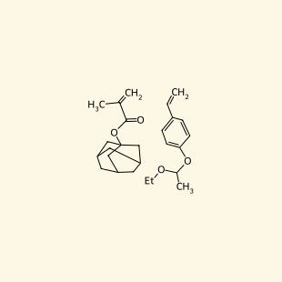 C=C(C)C(=O)OC12CC3CC(CC(C3)C1)C2.C=Cc1ccc(OC(C)OCC)cc1